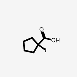 O=C(O)C1(I)CCCC1